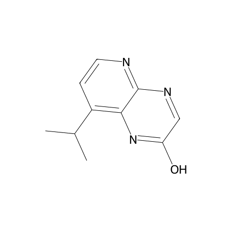 CC(C)c1ccnc2ncc(O)nc12